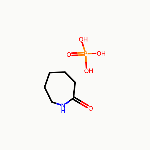 O=C1CCCCCN1.O=P(O)(O)O